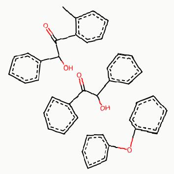 Cc1ccccc1C(=O)C(O)c1ccccc1.O=C(c1ccccc1)C(O)c1ccccc1.c1ccc(Oc2ccccc2)cc1